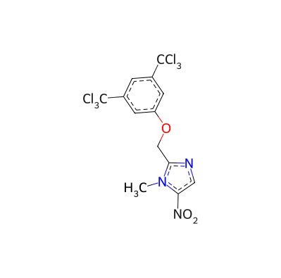 Cn1c([N+](=O)[O-])cnc1COc1cc(C(Cl)(Cl)Cl)cc(C(Cl)(Cl)Cl)c1